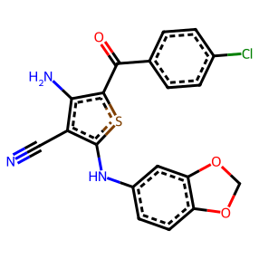 N#Cc1c(Nc2ccc3c(c2)OCO3)sc(C(=O)c2ccc(Cl)cc2)c1N